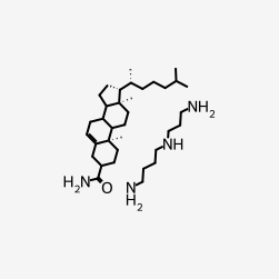 CC(C)CCC[C@@H](C)[C@H]1CCC2C3CC=C4CC(C(N)=O)CC[C@]4(C)C3CC[C@@]21C.NCCCCNCCCN